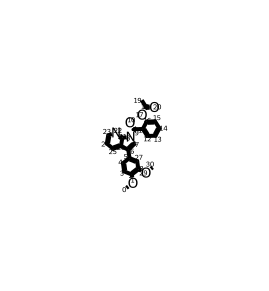 COc1ccc(-c2cn(C(=O)c3ccccc3OC(C)=O)c3ncccc23)cc1OC